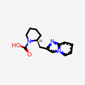 O=C(O)N1CCCC[C@H]1Cc1cn2ccccc2n1